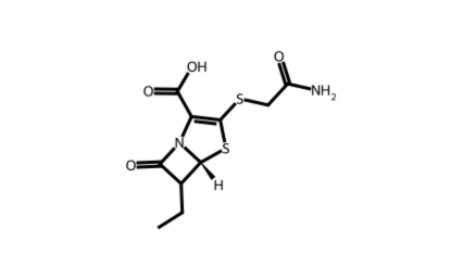 CCC1C(=O)N2C(C(=O)O)=C(SCC(N)=O)S[C@H]12